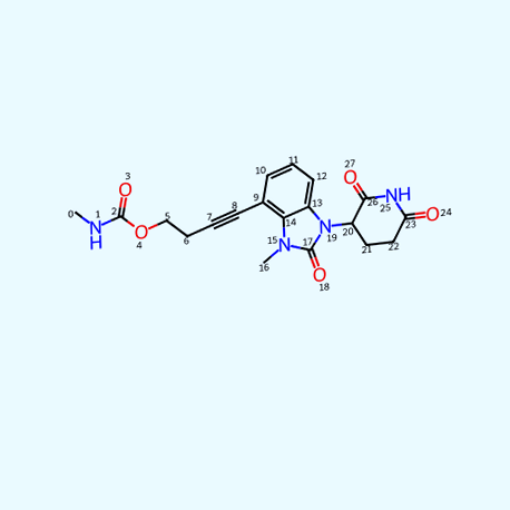 CNC(=O)OCCC#Cc1cccc2c1n(C)c(=O)n2C1CCC(=O)NC1=O